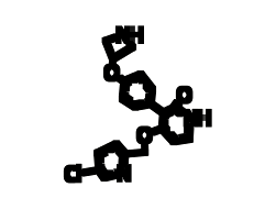 O=c1[nH]ccc(OCc2ccc(Cl)cn2)c1-c1ccc(OC2CNC2)cc1